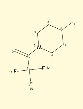 C=C(N1CCC(C)CC1)C(F)(F)F